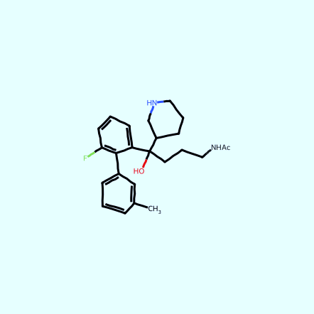 CC(=O)NCCCC(O)(c1cccc(F)c1-c1cccc(C)c1)C1CCCNC1